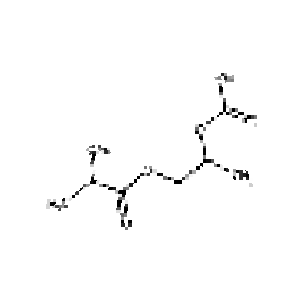 CC(=O)OC(C)C(=O)OCC(C)OC(=O)C(C)(C)C